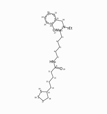 CCN(CCCCCCNC(=O)CCCCC1CCSS1)Cc1ccccc1OC